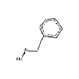 CC[C@H](C)/N=C/c1ccccc1